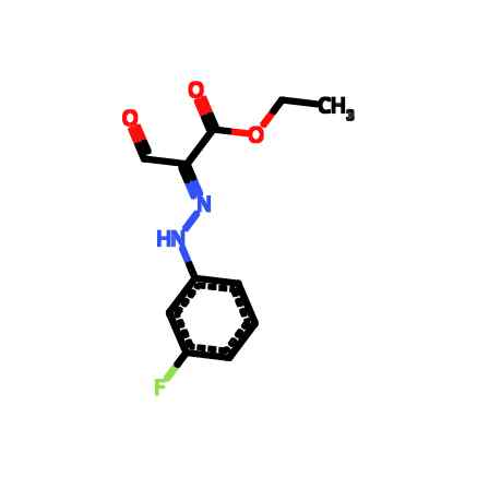 CCOC(=O)/C(C=O)=N/Nc1cccc(F)c1